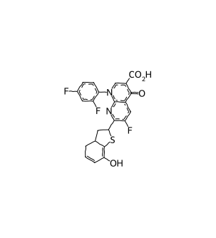 O=C(O)c1cn(-c2ccc(F)cc2F)c2nc(C3CC4CC=CC(O)=C4S3)c(F)cc2c1=O